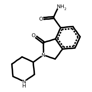 NC(=O)c1cccc2c1C(=O)N(C1CCCNC1)C2